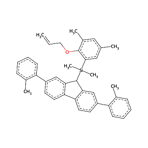 C=CCOc1c(C)cc(C)cc1[Si](C)(C)C1c2cc(-c3ccccc3C)ccc2-c2ccc(-c3ccccc3C)cc21